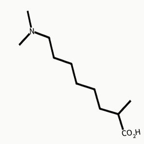 CC(CCCCCCN(C)C)C(=O)O